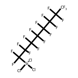 FC(F)(F)C(F)(F)C(F)(F)C(F)(F)C(F)(F)C(F)(F)C(F)(F)C(F)(F)[Si](Cl)(Cl)Cl